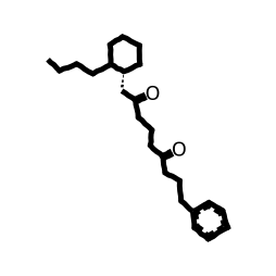 CCCCC1CCCC[C@@H]1CC(=O)CCCC(=O)CCCc1ccccc1